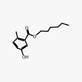 CCCCCCOC(=O)c1cc(O)ccc1C